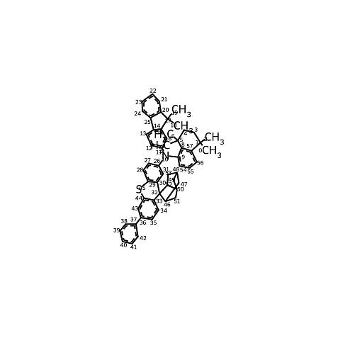 CC1(C)CCC(C)(C)c2c(N(c3ccc4c(c3)C(C)(C)c3ccccc3-4)c3ccc4c(c3)C3(c5ccc(-c6ccccc6)cc5S4)C4CC5CC(C4)C3C5)cccc21